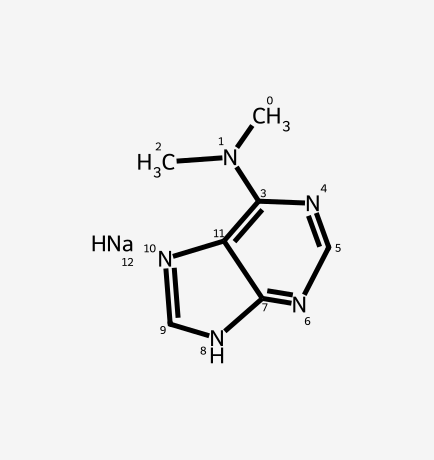 CN(C)c1ncnc2[nH]cnc12.[NaH]